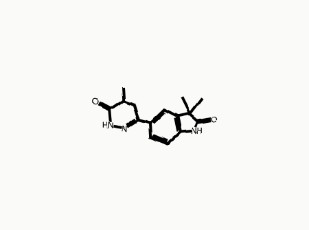 CC1CC(c2ccc3c(c2)C(C)(C)C(=O)N3)=NNC1=O